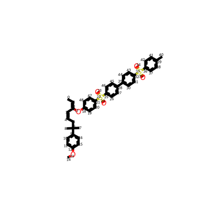 C/C=C(\C=C/CC(C)(C)c1ccc(OC)cc1)Oc1ccc(S(=O)(=O)c2ccc(-c3ccc(S(=O)(=O)c4ccc(C)cc4)cc3)cc2)cc1